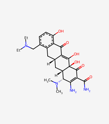 CCN(CC)Cc1ccc(O)c2c1C[C@H]1C[C@H]3[C@@H](N(C)C)C(N)=C(C(N)=O)C(=O)[C@@]3(O)C(O)=C1C2=O